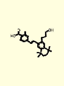 Cc1cc(C=Cc2cc3c(cc2CCCO)C(C)(C)CCC3(C)C)ccc1C(=O)O